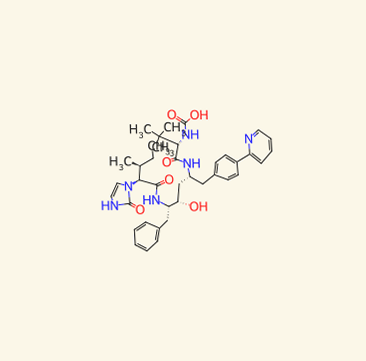 CC[C@H](C)[C@@H](C(=O)N[C@@H](Cc1ccccc1)[C@@H](O)C[C@@H](Cc1ccc(-c2ccccn2)cc1)NC(=O)[C@@H](NC(=O)O)C(C)(C)C)n1cc[nH]c1=O